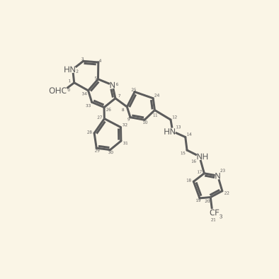 O=CC1NC=Cc2nc(-c3ccc(CNCCNc4ccc(C(F)(F)F)cn4)cc3)c(-c3ccccc3)cc21